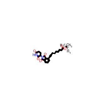 CC(C)(C)OC(=O)CCCCCCC#Cc1cccc2c1C(=O)N(C1CCC(=O)NC1=O)C2=O